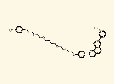 Cc1ccc(OCCOCCOCCCCOCCOCCOc2ccc(-c3ccc4ccc5cc(-c6cccc(C)c6)cnc5c4n3)cc2)cc1